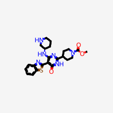 COC(=O)N1CCC(c2nc(N[C@@H]3CCCNC3)c(-c3nc4ccccc4s3)c(=O)[nH]2)CC1